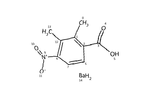 Cc1c(C(=O)O)ccc([N+](=O)[O-])c1C.[BaH2]